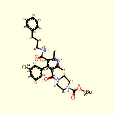 Cc1nc(C)c(C(=O)N2CCN(C(=O)OC(C)(C)C)CC2)c(-c2cccc(Cl)c2)c1C(=O)NCCCc1ccccc1